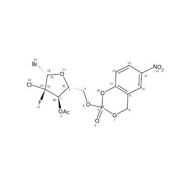 CC(=O)O[C@@H]1[C@@H](COP2(=O)OCc3cc([N+](=O)[O-])ccc3O2)O[C@@H](Br)[C@@]1(F)Cl